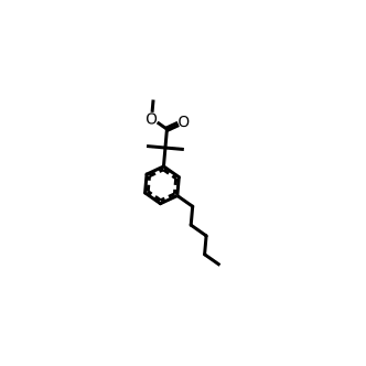 CCCCCc1cccc(C(C)(C)C(=O)OC)c1